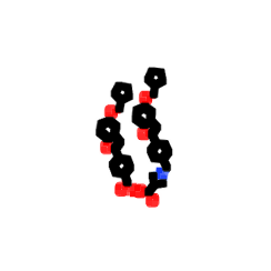 O=C(O)C1CN(Cc2ccc(-c3cc4cc(OCC5CCCC5)ccc4o3)cc2)C1.O=Cc1ccc(-c2cc3cc(OCC4CCCC4)ccc3o2)cc1